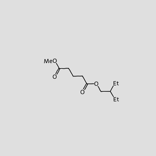 CCC(CC)COC(=O)CCCC(=O)OC